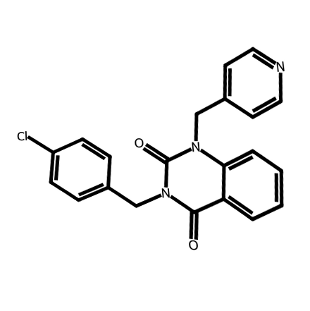 O=c1c2ccccc2n(Cc2ccncc2)c(=O)n1Cc1ccc(Cl)cc1